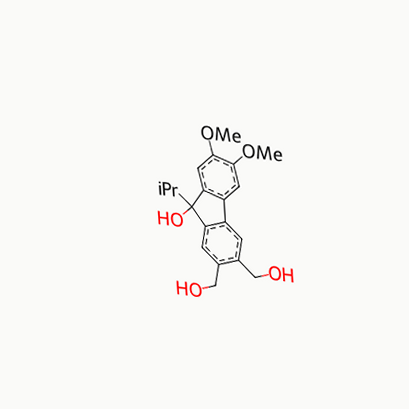 COc1cc2c(cc1OC)C(O)(C(C)C)c1cc(CO)c(CO)cc1-2